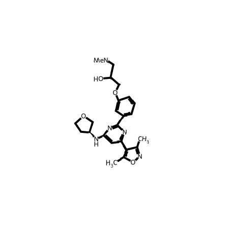 CNCC(O)COc1cccc(-c2nc(N[C@H]3CCOC3)cc(-c3c(C)noc3C)n2)c1